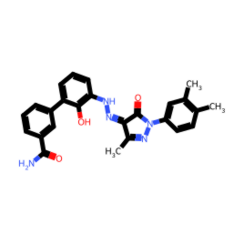 CC1=NN(c2ccc(C)c(C)c2)C(=O)/C1=N\Nc1cccc(-c2cccc(C(N)=O)c2)c1O